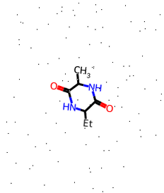 CCC1NC(=O)C(C)NC1=O